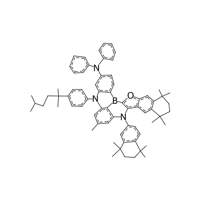 Cc1cc2c3c(c1)N(c1ccc4c(c1)C(C)(C)CCC4(C)C)c1c(oc4cc5c(cc14)C(C)(C)CCC5(C)C)B3c1ccc(N(c3ccccc3)c3ccccc3)cc1N2c1ccc(C(C)(C)CCC(C)C)cc1